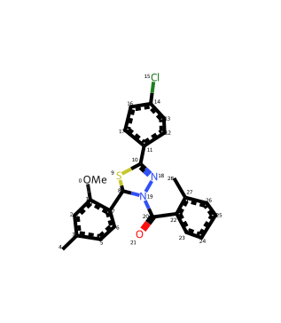 COc1cc(C)ccc1C1SC(c2ccc(Cl)cc2)=NN1C(=O)c1ccccc1C